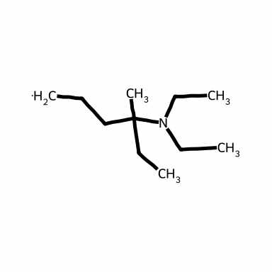 [CH2]CCC(C)(CC)N(CC)CC